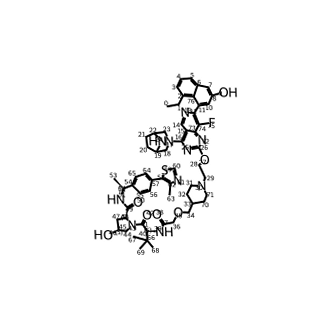 CCc1cccc2cc(O)cc(-c3ncc4c(N5CC6CCC(C5)N6)nc(OCCN5CCC(COCC(=O)N[C@H](C(=O)N6C[C@@H](O)C[C@H]6C(=O)N[C@@H](C)c6ccc(-c7scnc7C)cc6)C(C)(C)C)CC5)nc4c3F)c12